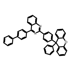 c1ccc(-c2ccc(-c3nc(-c4ccc(C5(c6ccccc6)c6ccccc6Oc6ccccc65)cc4)nc4ccccc34)cc2)cc1